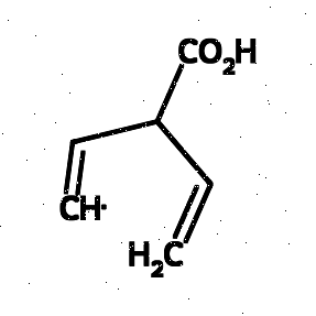 [CH]=CC(C=C)C(=O)O